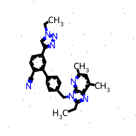 CCc1nc2c(C)cc(C)nc2n1Cc1ccc(-c2cc(-c3cn(CC)nn3)ccc2C#N)cc1